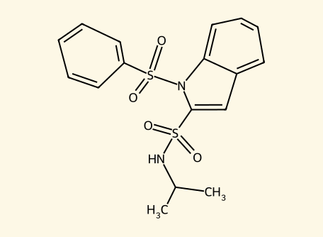 CC(C)NS(=O)(=O)c1cc2ccccc2n1S(=O)(=O)c1ccccc1